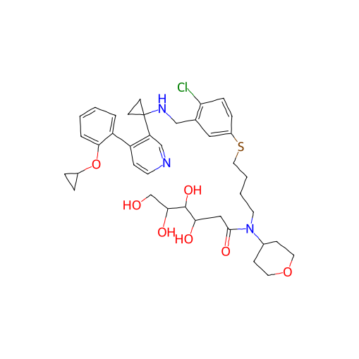 O=C(CC(O)C(O)C(O)CO)N(CCCCSc1ccc(Cl)c(CNC2(c3cnccc3-c3ccccc3OC3CC3)CC2)c1)C1CCOCC1